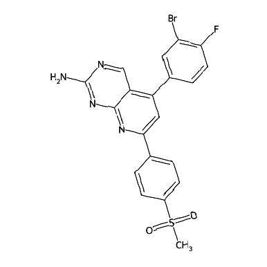 CS(=O)(=O)c1ccc(-c2cc(-c3ccc(F)c(Br)c3)c3cnc(N)nc3n2)cc1